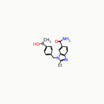 CCc1nc2ccc(C(N)=O)cc2n1Cc1ccc(B(C)O)cc1